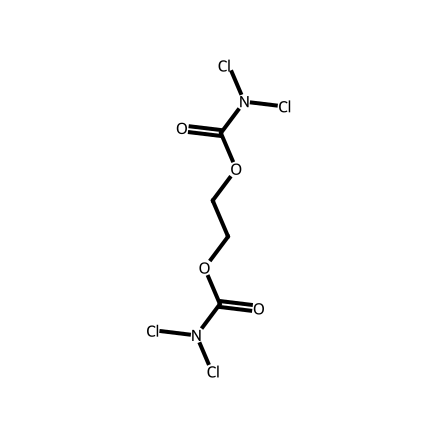 O=C(OCCOC(=O)N(Cl)Cl)N(Cl)Cl